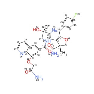 C[C@]1(C(N)=O)COc2c1cc([C@@](O)(CNC(=O)c1cc(OCC(N)=O)c3ncccc3c1)C(F)(F)F)nc2-c1ccc(F)cc1